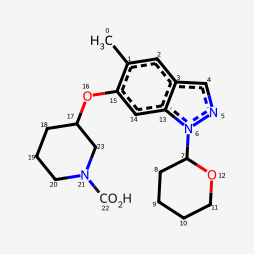 Cc1cc2cnn(C3CCCCO3)c2cc1OC1CCCN(C(=O)O)C1